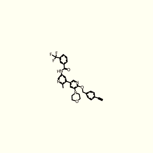 C#Cc1ccc(COc2ncc(-c3cc(NC(=O)c4cccc(C(F)(F)F)c4)cnc3C)cc2N2CCOCC2)cc1